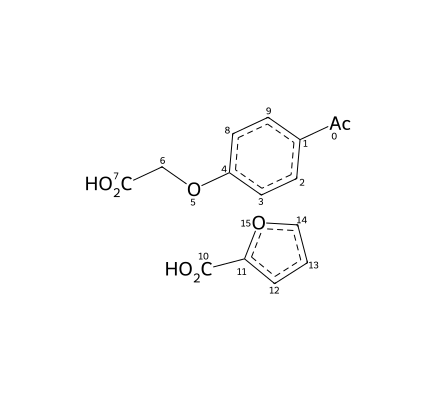 CC(=O)c1ccc(OCC(=O)O)cc1.O=C(O)c1ccco1